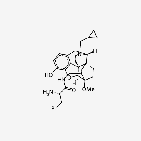 COC12CC[C@@]3(C[C@@H]1CNC(=O)[C@@H](N)CC(C)C)[C@H]1Cc4ccc(O)c5c4[C@@]3(CCN1CC1CC1)C2O5